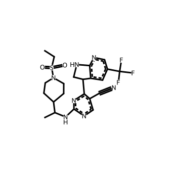 CCS(=O)(=O)N1CCC(C(C)Nc2ncc(C#N)c(C3CNc4ncc(C(F)(F)F)cc43)n2)CC1